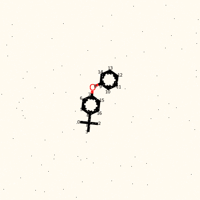 CC(C)(C)c1ccc(Oc2c[c]ccc2)cc1